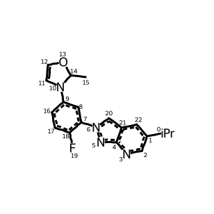 CC(C)c1cnc2nn(-c3cc(N4C=COC4C)ccc3F)cc2c1